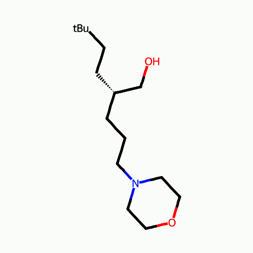 CC(C)(C)CC[C@H](CO)CCCN1CCOCC1